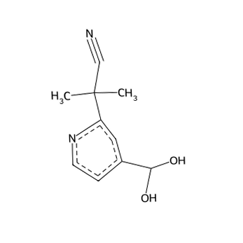 CC(C)(C#N)c1cc(C(O)O)ccn1